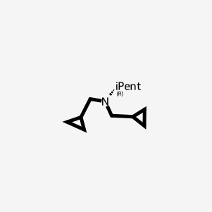 CCC[C@@H](C)N(CC1CC1)CC1CC1